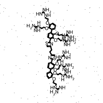 N=C(N)NCCOc1cccc(-c2ccc(-c3nc(CCc4csc(-c5ccc(-c6cccc(OCCNC(=N)N)c6OCCNC(=N)N)c(OCCNC(=N)N)c5OCCNC(=N)N)n4)cs3)c(OCCNC(=N)N)c2OCCNC(=N)N)c1OCCNC(=N)N